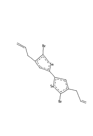 C=CCc1cc(-c2cc(CC=C)c(Br)[se]2)[se]c1Br